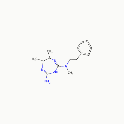 CC1N=C(N)NC(N(C)CCc2ccccc2)=NC1C